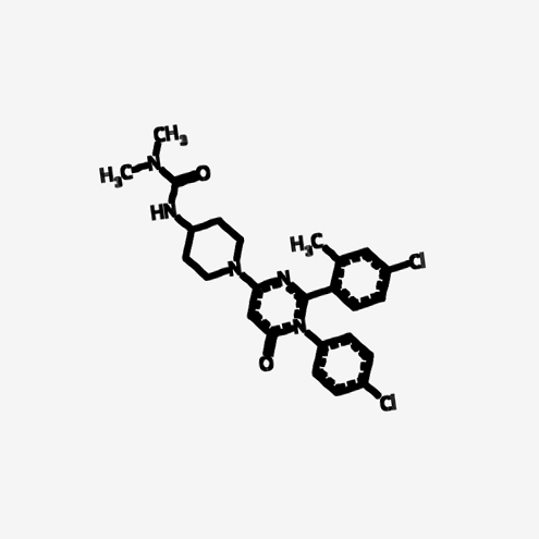 Cc1cc(Cl)ccc1-c1nc(N2CCC(NC(=O)N(C)C)CC2)cc(=O)n1-c1ccc(Cl)cc1